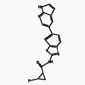 O=C(Nc1nc2ccc(-c3cnc4[nH]ccc4c3)cc2s1)C1CC1F